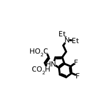 CCN(CC)CCc1c[nH]c2ccc(F)c(F)c12.O=C(O)/C=C/C(=O)O